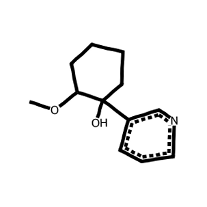 COC1CCCCC1(O)c1cccnc1